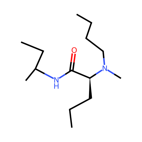 CCCCN(C)[C@@H](CCC)C(=O)NC(C)CC